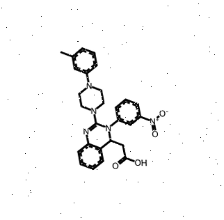 Cc1cccc(N2CCN(C3=Nc4ccccc4C(CC(=O)O)N3c3cccc([N+](=O)[O-])c3)CC2)c1